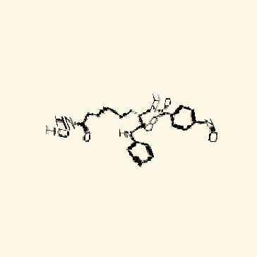 O=Nc1ccc(S(=O)(=O)N[C@@H](CCCCCC(=O)NO)C(=O)Nc2ccccc2)cc1